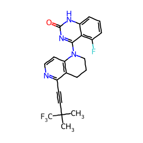 CC(C)(C#Cc1nccc2c1CCCN2c1nc(=O)[nH]c2cccc(F)c12)C(F)(F)F